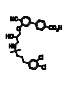 CC(C)(CCCc1ccc(Cl)c(Cl)c1)NCC(O)COc1cc(-c2ccc(C(=O)O)cc2)ccc1C#N